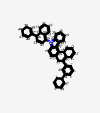 C1=CCC(c2cccc(C3=C4C=CC=CC4c4c(ccc5c4c4ccccc4n5C4=C5C=CC=CC5C(C5=CCCC=C5)C=C4)C3)c2)C=C1